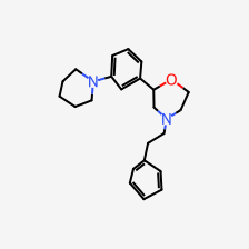 c1ccc(CCN2CCOC(c3cccc(N4CCCCC4)c3)C2)cc1